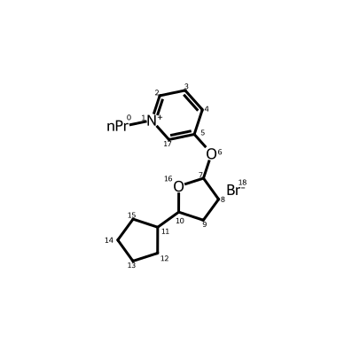 CCC[n+]1cccc(OC2CCC(C3CCCC3)O2)c1.[Br-]